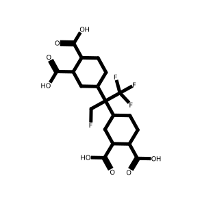 O=C(O)C1CCC(C(CF)(C2CCC(C(=O)O)C(C(=O)O)C2)C(F)(F)F)CC1C(=O)O